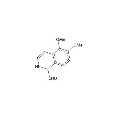 COc1ccc2c(c1OC)C=CNC2C=O